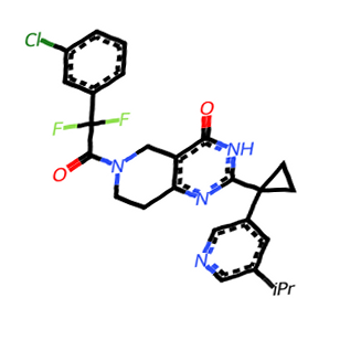 CC(C)c1cncc(C2(c3nc4c(c(=O)[nH]3)CN(C(=O)C(F)(F)c3cccc(Cl)c3)CC4)CC2)c1